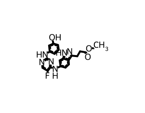 CCOC(=O)CCc1n[nH]c2cc(Nc3nc(Nc4cccc(O)c4)ncc3F)ccc12